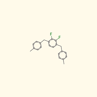 Cc1ccc(Cc2ccc(Cc3ccc(C)cc3)c(F)c2F)cc1